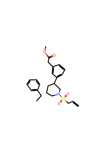 C=CCS(=O)(=O)N1CCCC(c2cccc(CC(=O)OC)c2)C1.CCc1ccccc1